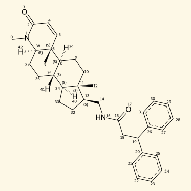 CN1C(=O)C=C[C@]2(C)[C@H]3CC[C@]4(C)[C@@H](CNC(=O)CC(c5ccccc5)c5ccccc5)CC[C@H]4[C@@H]3CC[C@@H]12